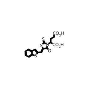 O=C(O)CCC(C(=O)O)N1C(=O)/C(=C/c2cc3ccccc3s2)SC1=S